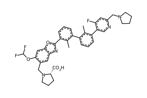 Cc1c(-c2nc3cc(CN4CCC[C@H]4C(=O)O)c(OC(F)F)cc3o2)cccc1-c1cccc(-c2cnc(CN3CCCC3)cc2F)c1C